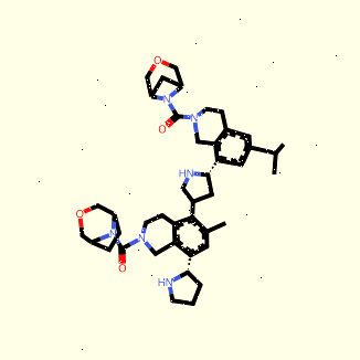 Cc1cc([C@@H]2CCCN2)c2c(c1C1CN[C@H](c3cc(C(C)C)cc4c3CN(C(=O)N3C5COCC3C5)CC4)C1)CCN(C(=O)N1C3CCC1COC3)C2